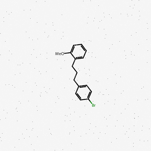 COc1ccccc1CCCc1ccc(Br)cc1